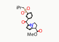 COC(=O)C1CCn2c(C(=O)c3cccc(S(=O)(=O)CC(C)C)c3)ccc21